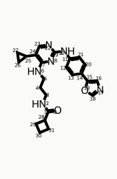 O=C(NCCCNc1nc(Nc2ccc(-c3cnco3)cc2)ncc1C1CC1)C1CCC1